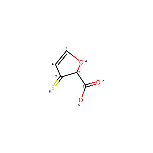 [O]C(=O)C1OC=CC1=S